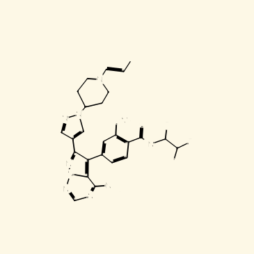 CC=CN1CCC(n2cc(-c3nn4ncnc(N)c4c3-c3ccc(C(=O)NC(F)C(F)F)c(OC)c3)cn2)CC1